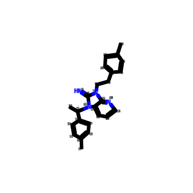 Cc1ccc(CCn2c(=N)n(C(C)c3ccc(C)cc3)c3cccnc32)cc1